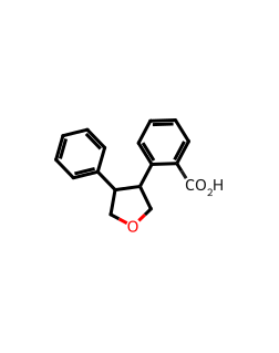 O=C(O)c1ccccc1C1COCC1c1ccccc1